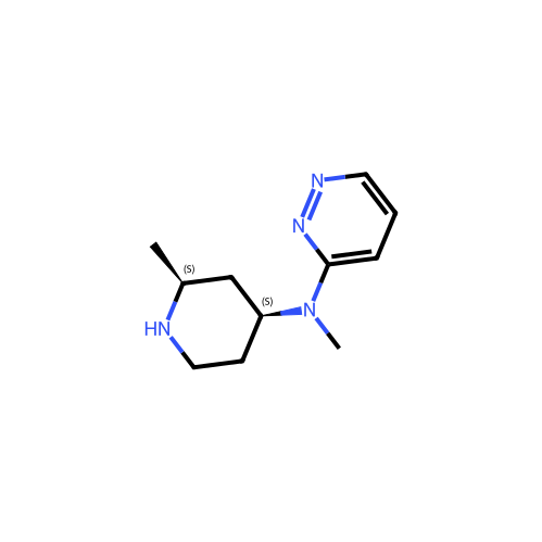 C[C@H]1C[C@@H](N(C)c2cccnn2)CCN1